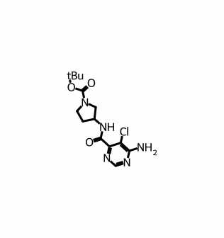 CC(C)(C)OC(=O)N1CCC(NC(=O)c2ncnc(N)c2Cl)C1